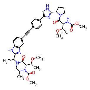 CCCN(C(=O)[C@@H](NC(=O)OC)[C@@H](C)OC)C(C)c1nc2cc(C#Cc3ccc(-c4c[nH]c([C@@H]5CCCN5C(=O)[C@@H](NC(=O)OC)[C@@H](C)OC)n4)cc3)ccc2[nH]1